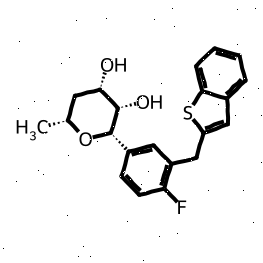 C[C@@H]1C[C@H](O)[C@H](O)[C@H](c2ccc(F)c(Cc3cc4ccccc4s3)c2)O1